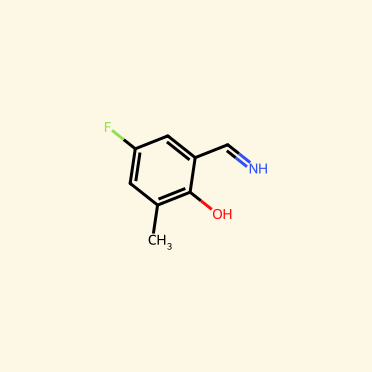 Cc1cc(F)cc(C=N)c1O